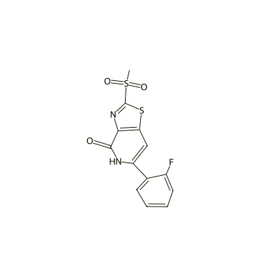 CS(=O)(=O)c1nc2c(=O)[nH]c(-c3ccccc3F)cc2s1